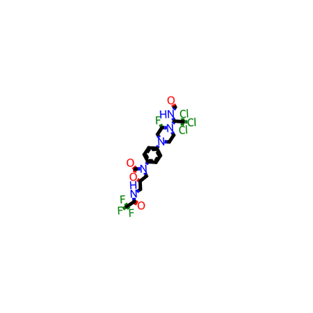 O=CNC(N1CCN(c2ccc(N3CC(CNC(=O)C(F)(F)F)OC3=O)cc2)CC1F)C(Cl)(Cl)Cl